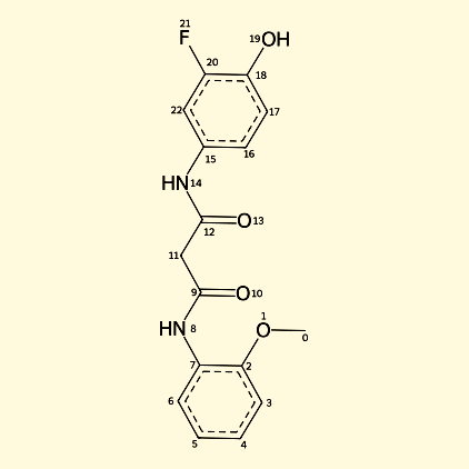 COc1ccccc1NC(=O)CC(=O)Nc1ccc(O)c(F)c1